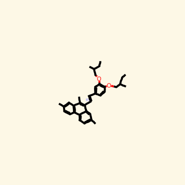 CCC(C)COc1ccc(/C=C/c2c(C)c3cc(C)ccc3c3ccc(C)cc23)cc1OCC(C)CC